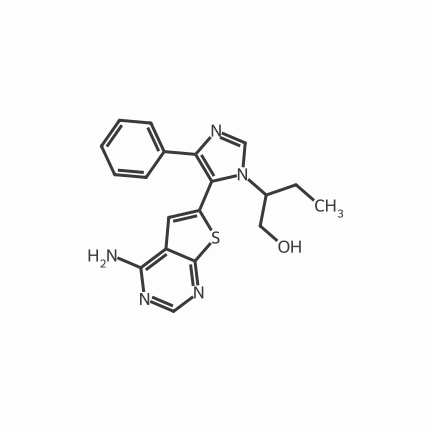 CCC(CO)n1cnc(-c2ccccc2)c1-c1cc2c(N)ncnc2s1